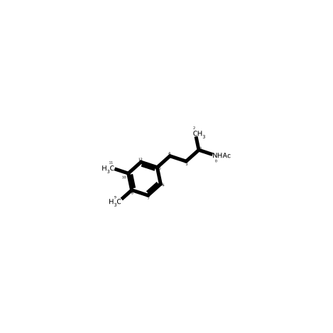 CC(=O)NC(C)CCc1ccc(C)c(C)c1